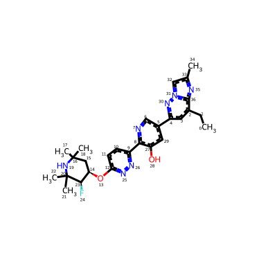 CCc1cc(-c2cnc(-c3ccc(O[C@@H]4CC(C)(C)NC(C)(C)[C@@H]4F)nn3)c(O)c2)nn2cc(C)nc12